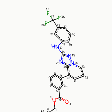 CCOC(=O)c1cccc(-c2cccn3nc(Nc4cccc(C(F)(F)F)c4)nc23)c1